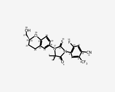 CC1(C)C(=O)N(c2cc(C(F)(F)F)c(C#N)cc2F)C(=S)N1c1ccc2c(c1)CC[C@@H](CO)O2